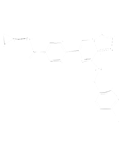 O=C(NC1CC1)c1ccc(-c2cn3ccnc3c(NCc3ccc(F)cc3)n2)cc1